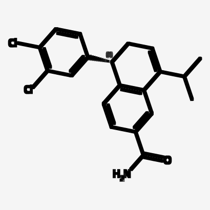 CC(C)C1=CC[C@@H](c2ccc(Cl)c(Cl)c2)c2ccc(C(N)=O)cc21